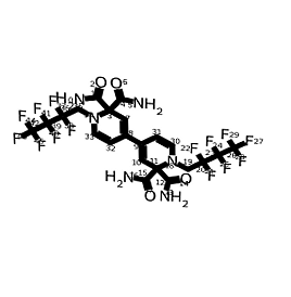 NC(=O)C1(C(N)=O)C=C(C2=CC(C(N)=O)(C(N)=O)N(CC(F)(F)C(F)(F)C(F)(F)F)C=C2)C=CN1CC(F)(F)C(F)(F)C(F)(F)F